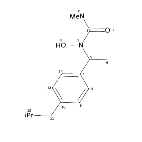 CNC(=O)N(O)C(C)c1ccc(CC(C)C)cc1